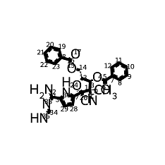 C[C@@]1(F)[C@H](OC(=O)c2ccccc2)[C@@H](COC(=O)c2ccccc2)OC1(C#N)c1ccc(/C(N)=N\C=N)[nH]1